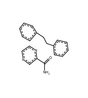 NC(=O)c1cnccn1.c1ccc(CCc2ccccc2)cc1